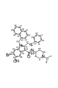 CC(C)N1CCC(NC(=O)c2c(CSc3ccccc3)n(Cc3cccc4ccccc34)c3cc(Br)c(O)cc23)CC1